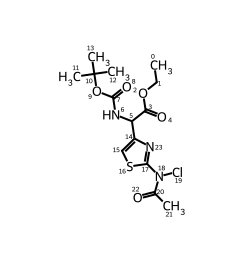 CCOC(=O)C(NC(=O)OC(C)(C)C)c1csc(N(Cl)C(C)=O)n1